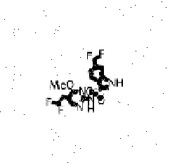 COc1nc(NS(=O)(=O)c2c[nH]c3cc(C(F)F)ccc23)ncc1CC(F)F